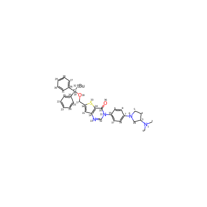 CN(C)C1CCN(c2ccc(-n3cnc4cc(CO[Si](c5ccccc5)(c5ccccc5)C(C)(C)C)sc4c3=O)cc2)C1